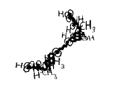 C[C@H](CCC(=O)NCCS(=O)(=O)O)[C@H]1CC[C@H]2[C@@H]3CCC4C[C@H](OC(=O)CCCCC(=O)O[C@@H]5CC[C@@]6(C)C(C5)C[C@H](O)[C@@H]5C6CC[C@]6(C)[C@@H]([C@H](C)CCC(=O)NCCS(=O)(=O)O)CC[C@@H]56)CC[C@]4(C)[C@H]3CC[C@]12C